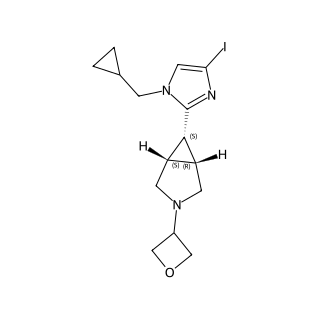 Ic1cn(CC2CC2)c([C@@H]2[C@@H]3CN(C4COC4)C[C@@H]32)n1